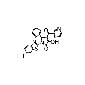 O=C(C1=C(O)C(=O)N(c2nc3ccc(F)cc3s2)C1c1ccccc1)c1cccnc1